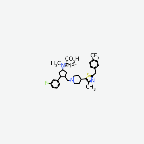 Cc1nc(Cc2ccc(C(F)(F)F)cc2)sc1C1CCN(CC2CC(N(C)[C@@H](C(=O)O)C(C)C)CC2c2cccc(F)c2)CC1